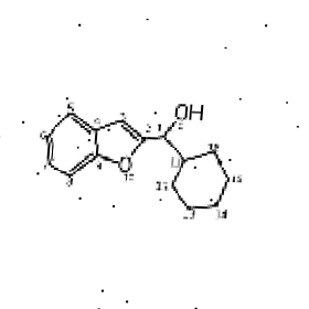 OC(c1cc2ccccc2o1)C1CCCCC1